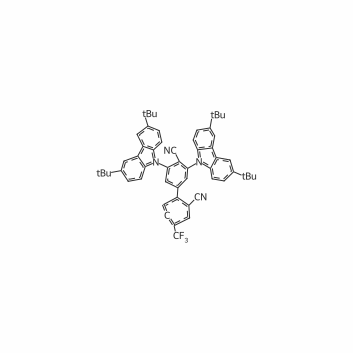 CC(C)(C)c1ccc2c(c1)c1cc(C(C)(C)C)ccc1n2-c1cc(-c2ccc(C(F)(F)F)cc2C#N)cc(-n2c3ccc(C(C)(C)C)cc3c3cc(C(C)(C)C)ccc32)c1C#N